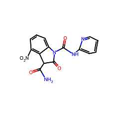 NC(=O)C1C(=O)N(C(=O)Nc2ccccn2)c2cccc([N+](=O)[O-])c21